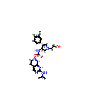 CC(C)Nc1ncc2c(n1)CN(OC(=O)N[C@@H]1CN(CCO)C[C@H]1c1ccc(F)c(F)c1)CC2